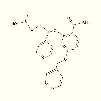 CC(=O)c1ccc(OCc2ccccc2)cc1OC(CCC(=O)O)c1ccccc1